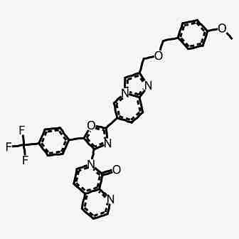 COc1ccc(COCc2cn3cc(-c4nc(-n5ccc6cccnc6c5=O)c(-c5ccc(C(F)(F)F)cc5)o4)ccc3n2)cc1